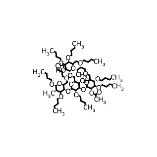 CCCCOCC1O[C@H](OCC2OC(O[C@@H]3C(COCCCC)O[C@@H](OCCCC)[C@@H](C)C3OCCCC)[C@H](OCCCC)[C@@H](O[C@@H]3OC(COCCCC)[C@H](OCCCC)C(OCCCC)[C@@H]3OC(C)=O)[C@@H]2O)[C@H](O)C(OCCCC)[C@@H]1OCCCC